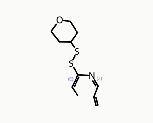 C=C/C=N\C(=C/C)SSC1CCOCC1